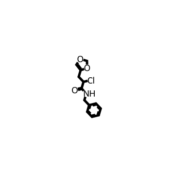 O=C(NCc1ccccc1)C(Cl)CC1=COCO1